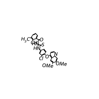 COc1cc2nccc(Oc3ccc(NC(=S)NC(=O)c4cccc(C)c4C)cc3Cl)c2cc1OC